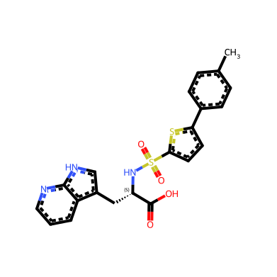 Cc1ccc(-c2ccc(S(=O)(=O)N[C@@H](Cc3c[nH]c4ncccc34)C(=O)O)s2)cc1